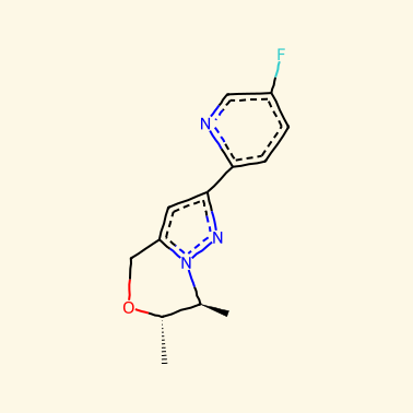 C[C@@H]1OCc2cc(-c3ccc(F)cn3)nn2[C@H]1C